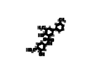 Cc1cccc(-c2cc(C)c(O)c(S(=O)(=O)Nc3ccc(C(=O)O)c(O)c3)c2)c1